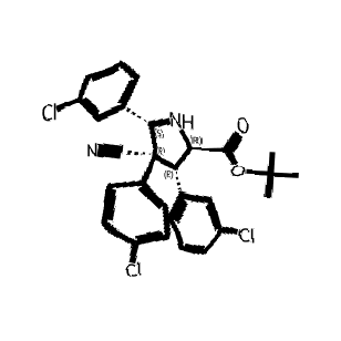 CC(C)(C)OC(=O)[C@@H]1N[C@@H](c2cccc(Cl)c2)[C@](C#N)(c2ccc(Cl)cc2)[C@H]1c1cccc(Cl)c1